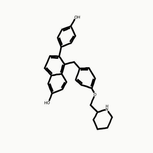 Oc1ccc(-c2ccc3cc(O)ccc3c2Cc2ccc(OCC3CCCCN3)cc2)cc1